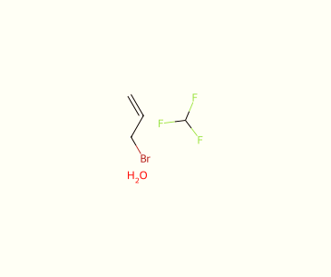 C=CCBr.FC(F)F.O